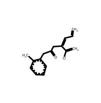 C=C/C=C(/CC(=O)Cc1ccccc1C)C(=C)Cl